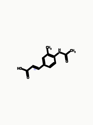 CC(=O)Nc1ccc(/C=C/C(=O)O)cc1C